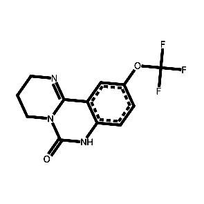 O=C1Nc2ccc(OC(F)(F)F)cc2C2=NCCCN12